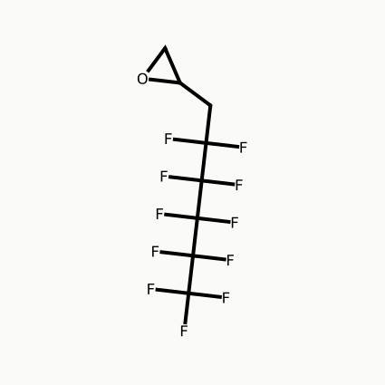 FC(F)(F)C(F)(F)C(F)(F)C(F)(F)C(F)(F)CC1CO1